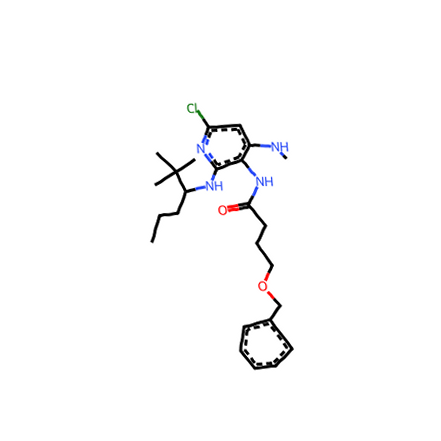 CCCC(Nc1nc(Cl)cc(NC)c1NC(=O)CCCOCc1ccccc1)C(C)(C)C